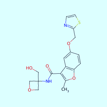 Cc1oc2ccc(OCc3nccs3)cc2c1C(=O)NC1(CO)COC1